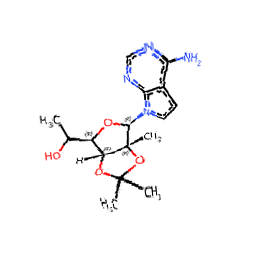 CC(O)[C@H]1O[C@@H](n2ccc3c(N)ncnc32)[C@]2(C)OC(C)(C)O[C@H]12